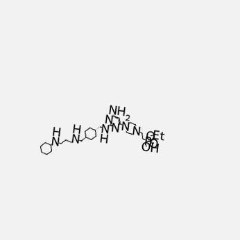 CCOP(=O)(O)CCN1CCN(c2cc(N)nc(NC[C@H]3CC[C@H](CNCCCNC4CCCCC4)CC3)n2)CC1